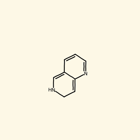 C1=c2cccnc2=CCN1